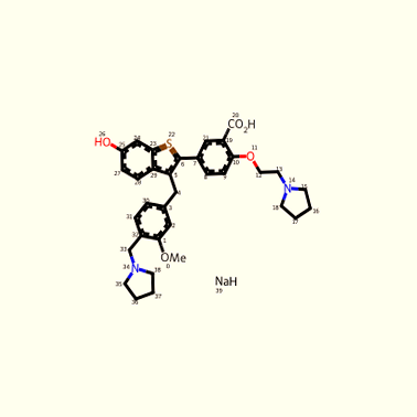 COc1cc(Cc2c(-c3ccc(OCCN4CCCC4)c(C(=O)O)c3)sc3cc(O)ccc23)ccc1CN1CCCC1.[NaH]